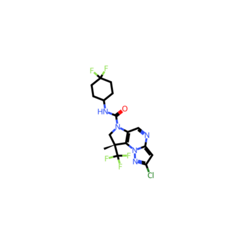 C[C@@]1(C(F)(F)F)CN(C(=O)NC2CCC(F)(F)CC2)c2cnc3cc(Cl)nn3c21